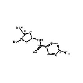 CCN1CC(NC(=O)c2ccc(F)cc2)CN1CC